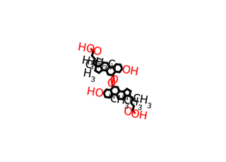 C[C@H](CCC(=O)O)C1CCC2C3CC(OOC4CC5C(CC[C@@]6(C)C5CCC6[C@H](C)CCC(=O)O)[C@@]5(C)CCC(O)CC45)C4CC(O)CC[C@]4(C)C3CC[C@@]21C